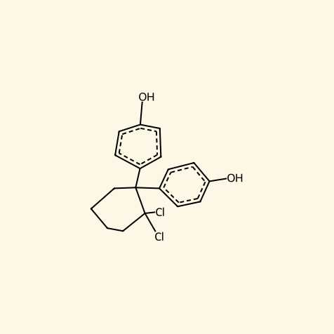 Oc1ccc(C2(c3ccc(O)cc3)CCCCC2(Cl)Cl)cc1